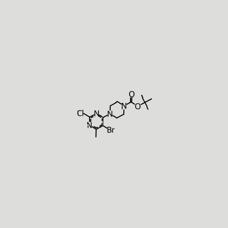 Cc1nc(Cl)nc(N2CCN(C(=O)OC(C)(C)C)CC2)c1Br